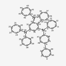 c1ccc(-c2ccc(N(c3ccccc3)c3cc(N(c4ccccc4)c4ccccc4)cc4c3c3ccccc3n4-c3ccccc3)cc2)cc1